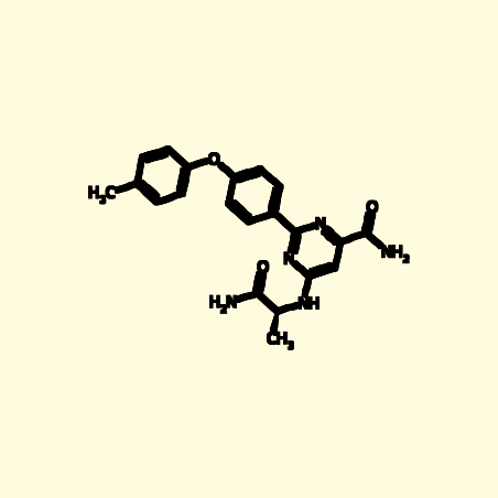 Cc1ccc(Oc2ccc(-c3nc(N[C@@H](C)C(N)=O)cc(C(N)=O)n3)cc2)cc1